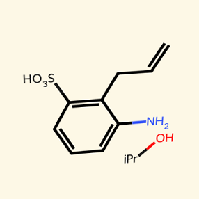 C=CCc1c(N)cccc1S(=O)(=O)O.CC(C)O